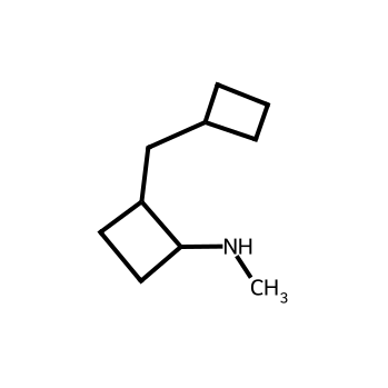 CNC1CCC1CC1CCC1